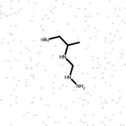 CCCCCC(C)NCNN